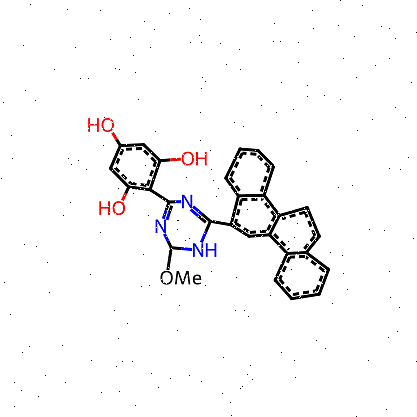 COC1N=C(c2c(O)cc(O)cc2O)N=C(c2cc3c4ccccc4ccc3c3ccccc23)N1